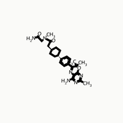 Cc1nc(N)c2c(n1)OC(C)(C)C(c1ccc([C@H]3CC[C@H](CC(=O)N(C)CC(N)=O)CC3)cc1)=N2